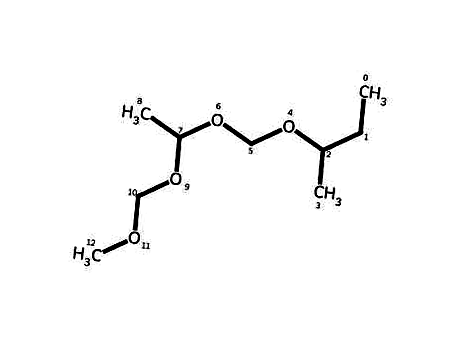 CCC(C)OCOC(C)OCOC